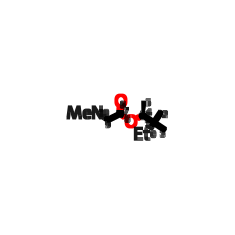 CCC(C)(C)[C@H](C)OC(=O)CNC